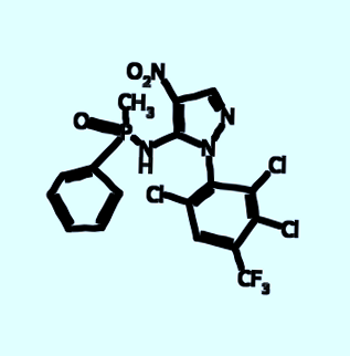 CP(=O)(Nc1c([N+](=O)[O-])cnn1-c1c(Cl)cc(C(F)(F)F)c(Cl)c1Cl)c1ccccc1